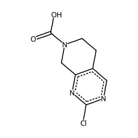 O=C(O)N1CCc2cnc(Cl)nc2C1